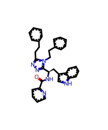 O=C(N[C@H](Cc1c[nH]c2ccccc12)c1nnc(CCc2ccccc2)n1CCc1ccccc1)c1ccccn1